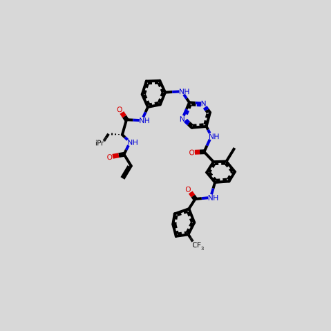 C=CC(=O)N[C@H](CC(C)C)C(=O)Nc1cccc(Nc2ncc(NC(=O)c3cc(NC(=O)c4cccc(C(F)(F)F)c4)ccc3C)cn2)c1